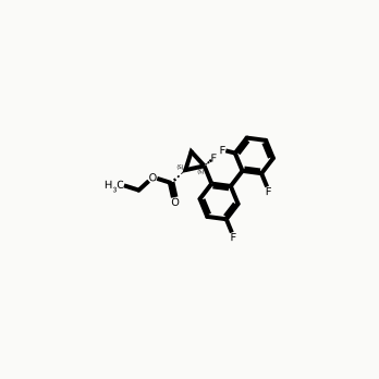 CCOC(=O)[C@@H]1C[C@@]1(F)c1ccc(F)cc1-c1c(F)cccc1F